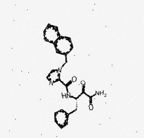 NC(=O)C(=O)[C@H](Cc1ccccc1)NC(=O)c1nccn1Cc1ccc2ccccc2c1